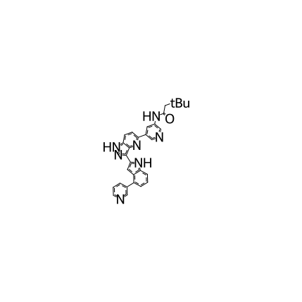 CC(C)(C)CC(=O)Nc1cncc(-c2ccc3[nH]nc(-c4cc5c(-c6cccnc6)cccc5[nH]4)c3n2)c1